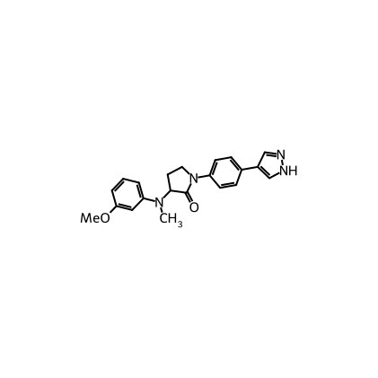 COc1cccc(N(C)C2CCN(c3ccc(-c4cn[nH]c4)cc3)C2=O)c1